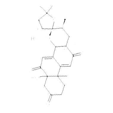 C[C@H]1[C@@H](O)[C@]2(OC3C4=CC(=O)C5(O)CC(=O)CCC5(C)C4=CC(=O)[C@]3(C)C[C@@H]2C)OC1(C)C